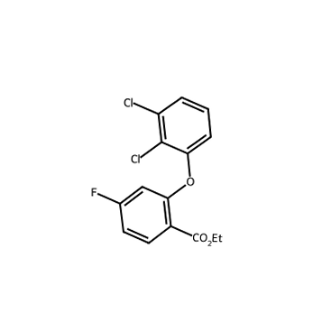 CCOC(=O)c1ccc(F)cc1Oc1cccc(Cl)c1Cl